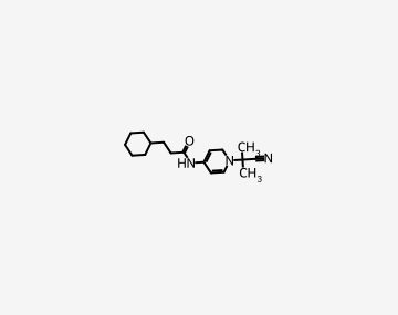 CC(C)(C#N)N1C=CC(NC(=O)CCC2CCCCC2)=CC1